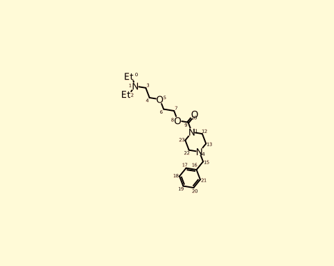 CCN(CC)CCOCCOC(=O)N1CCN(Cc2ccccc2)CC1